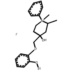 CCOc1ccccc1OCC1(O)CC[N+](C)(c2ccccc2)C(C)C1.[I-]